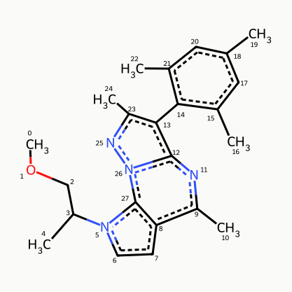 COCC(C)n1ccc2c(C)nc3c(-c4c(C)cc(C)cc4C)c(C)nn3c21